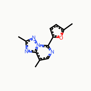 Cc1nc2c(C)cnc(-c3ccc(C)o3)n2n1